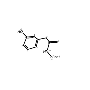 C=C(Cc1cccc(O)c1)NCCCCC